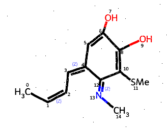 C\C=C/C=C1/C=C(O)C(O)=C(SC)/C1=N\C